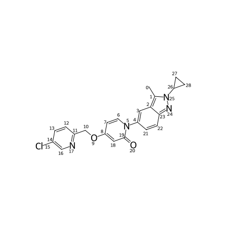 Cc1c2cc(-n3ccc(OCc4ccc(Cl)cn4)cc3=O)ccc2nn1C1CC1